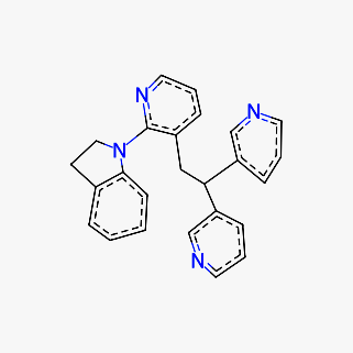 c1cncc(C(Cc2cccnc2N2CCc3ccccc32)c2cccnc2)c1